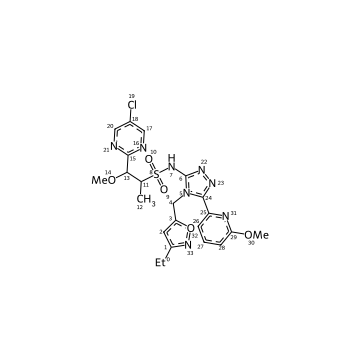 CCc1cc(Cn2c(NS(=O)(=O)C(C)C(OC)c3ncc(Cl)cn3)nnc2-c2cccc(OC)n2)on1